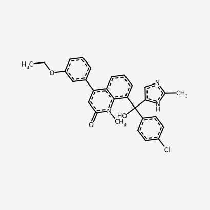 CCOc1cccc(-c2cc(=O)n(C)c3c(C(O)(c4ccc(Cl)cc4)c4cnc(C)[nH]4)cccc23)c1